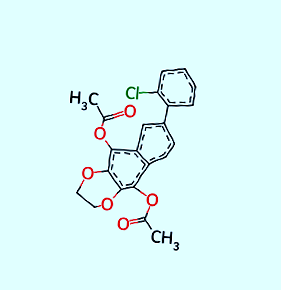 CC(=O)Oc1c2c(c(OC(C)=O)c3cc(-c4ccccc4Cl)ccc13)OCCO2